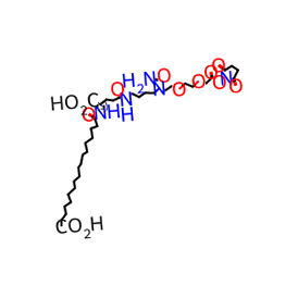 NC(=O)N(CCCCNC(=O)CC[C@H](NC(=O)CCCCCCCCCCCCCCCCC(=O)O)C(=O)O)CCOCCOCC(=O)ON1C(=O)CCC1=O